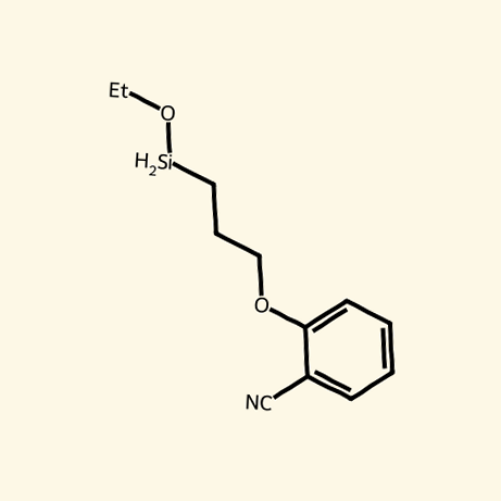 CCO[SiH2]CCCOc1ccccc1C#N